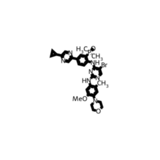 COc1cc(Nc2ncc(Br)c(Nc3ccc(-c4cnc(C5CC5)cn4)cc3P(C)(C)=O)n2)c(C)cc1N1CCOCC1